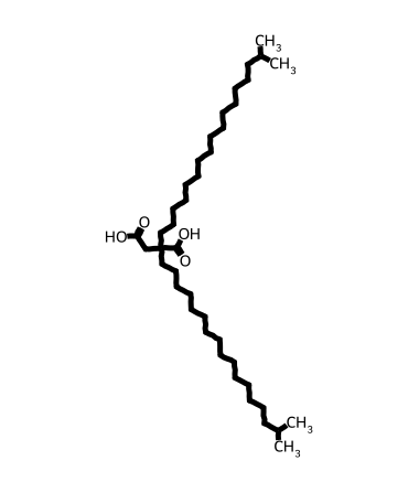 CC(C)CCCCCCCCCCCCCCCC(CCCCCCCCCCCCCCCC(C)C)(CC(=O)O)C(=O)O